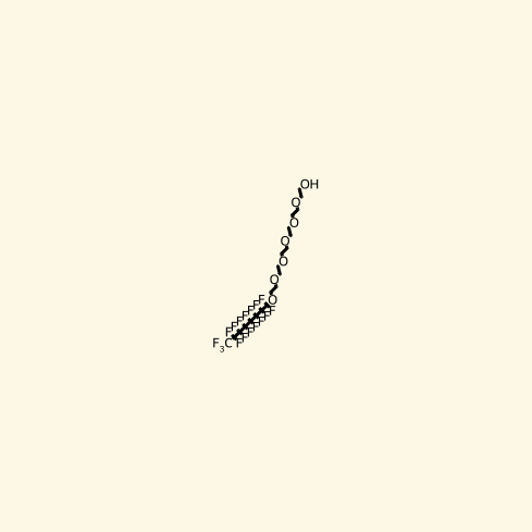 OCCOCCOCCOCCOCCOCCOC(F)(F)C(F)(F)C(F)(F)C(F)(F)C(F)(F)C(F)(F)C(F)(F)C(F)(F)F